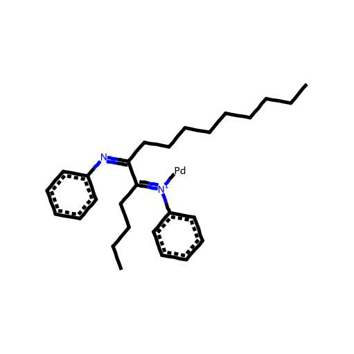 CCCCCCCCCC(=Nc1ccccc1)C(CCCC)=[N+]([Pd])c1ccccc1